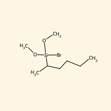 CCCCC(C)[Si](Br)(OC)OC